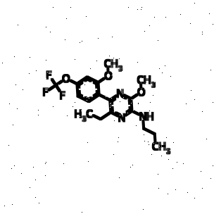 CCCNc1nc(CC)c(-c2ccc(OC(F)(F)F)cc2OC)nc1OC